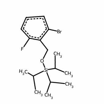 CC(C)[Si](OCc1c(F)cccc1Br)(C(C)C)C(C)C